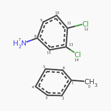 Cc1ccccc1.Nc1ccc(Cl)c(Cl)c1